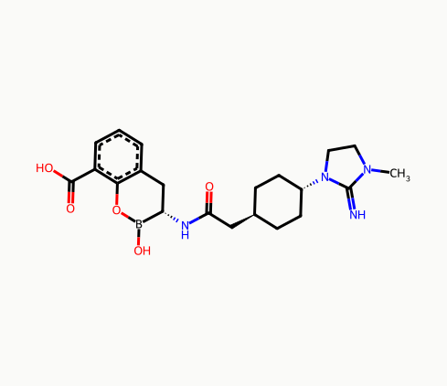 CN1CCN([C@H]2CC[C@H](CC(=O)N[C@H]3Cc4cccc(C(=O)O)c4OB3O)CC2)C1=N